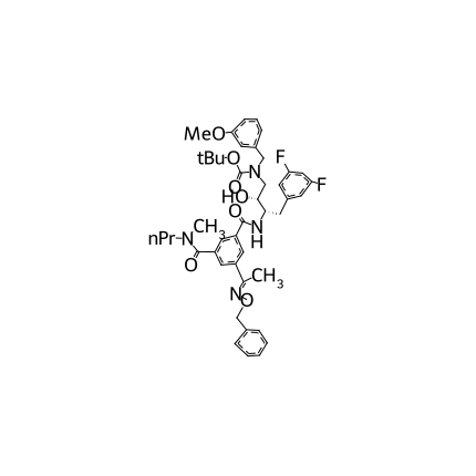 CCCN(C)C(=O)c1cc(C(=O)N[C@@H](Cc2cc(F)cc(F)c2)[C@H](O)CN(Cc2cccc(OC)c2)C(=O)OC(C)(C)C)cc(/C(C)=N/OCc2ccccc2)c1